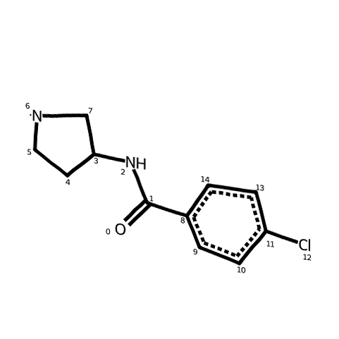 O=C(NC1CC[N]C1)c1ccc(Cl)cc1